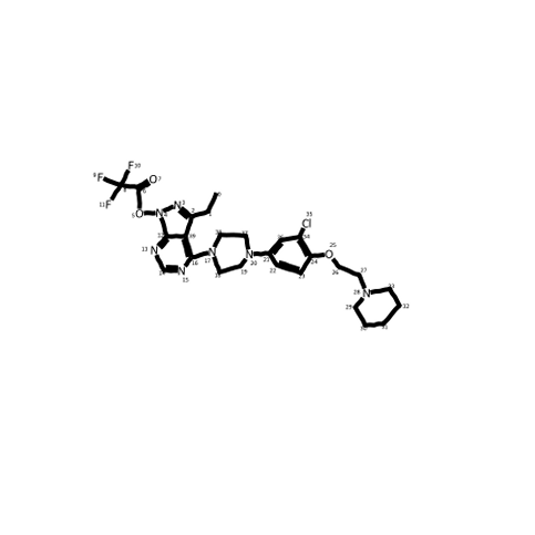 CCc1nn(OC(=O)C(F)(F)F)c2ncnc(N3CCN(c4ccc(OCCN5CCCCC5)c(Cl)c4)CC3)c12